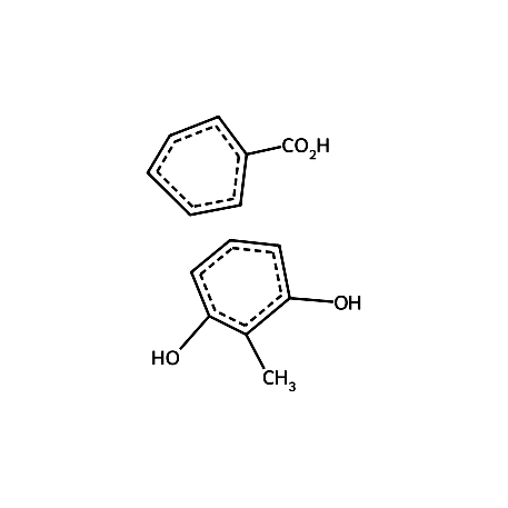 Cc1c(O)cccc1O.O=C(O)c1ccccc1